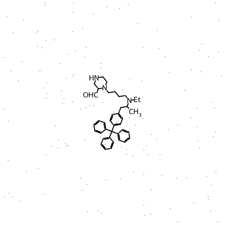 CCN(CCCCN1CCNCC1C=O)C(C)Cc1ccc(C(c2ccccc2)(c2ccccc2)c2ccccc2)cc1